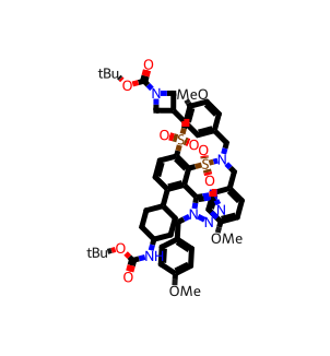 COc1ccc(CN(Cc2ccc(OC)cc2)S(=O)(=O)c2c(S(=O)(=O)CC3CN(C(=O)OC(C)(C)C)C3)ccc(C3CCC(NC(=O)OC(C)(C)C)CC3)c2-c2nnnn2Cc2ccc(OC)cc2)cc1